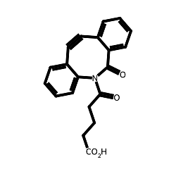 O=C(O)CCCC(=O)N1C(=O)c2ccccc2C#Cc2ccccc21